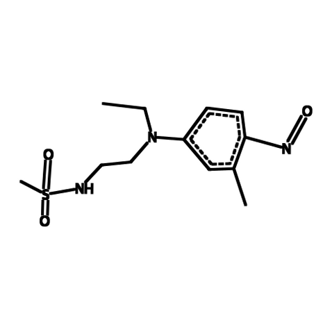 CCN(CCNS(C)(=O)=O)c1ccc(N=O)c(C)c1